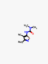 CSc1nsc(NC(=O)N(C)C)c1C#N